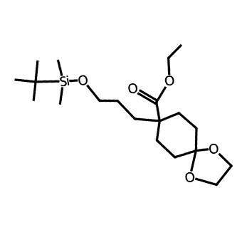 CCOC(=O)C1(CCCO[Si](C)(C)C(C)(C)C)CCC2(CC1)OCCO2